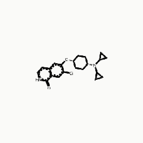 O=c1[nH]ccc2cc(O[C@H]3CC[C@@H](N(C4CC4)C4CC4)CC3)c(Cl)cc12